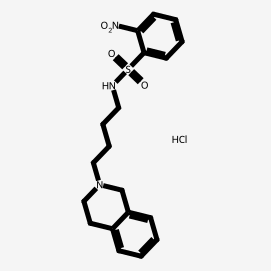 Cl.O=[N+]([O-])c1ccccc1S(=O)(=O)NCCCCN1CCc2ccccc2C1